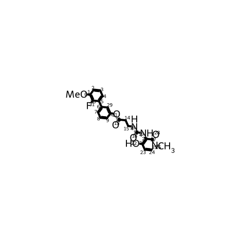 COc1cccc(-c2cccc(OC(=O)CCNC(=O)Nc3c(O)ccn(C)c3=O)c2)c1F